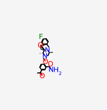 CC(=O)c1ccc(OCN2C[C@H](C)N(Cc3ccc(F)cc3)C(=C=O)[C@H]2C)c(C(N)=O)c1